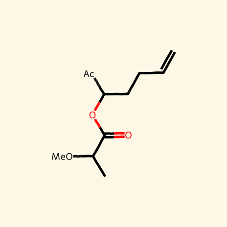 C=CCCC(OC(=O)C(C)OC)C(C)=O